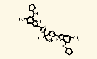 Cc1cc(NC2CCCC2)c2[nH]c(-c3ncc(C(O)(CO)c4cnc(-c5cc6cc(C)cc(NC7CCCC7)c6[nH]5)s4)s3)cc2c1